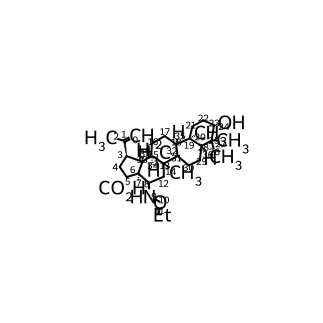 C=C(C)[C@@H]1CC[C@]2(C(=O)O)C(NOCC)C[C@]3(C)[C@H](CC[C@@H]4[C@@]5(C)CC[C@H](O)C(C)(C)[C@@H]5CC[C@]43C)[C@@H]12